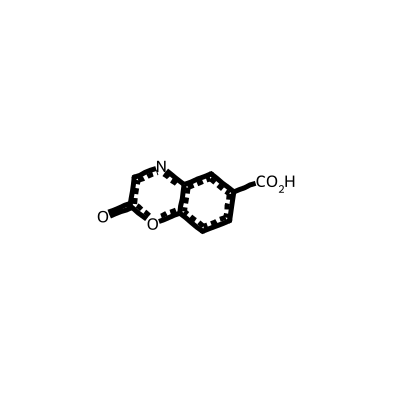 O=C(O)c1ccc2oc(=O)cnc2c1